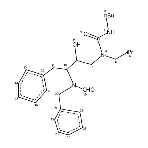 CCCCNC(=O)N(CC(C)C)CC(O)C(Cc1ccccc1)N(C=O)Cc1ccccc1